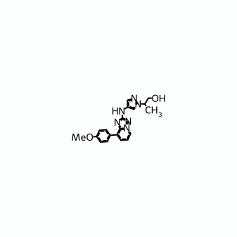 COc1ccc(-c2cccn3nc(Nc4cnn(C(C)CO)c4)nc23)cc1